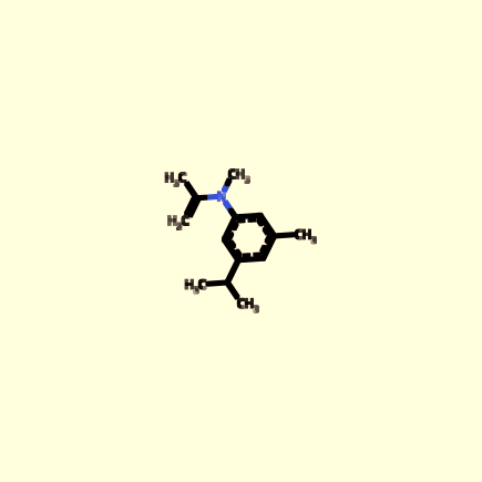 C=C(C)N(C)c1cc(C)cc(C(C)C)c1